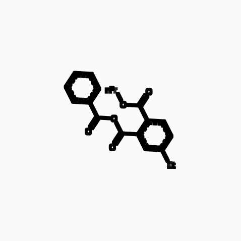 CCCOC(=O)c1ccc(CC)cc1C(=O)OC(=O)c1ccccc1